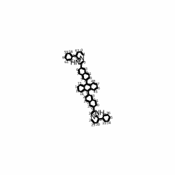 C1=CN2C=C(c3ccc4cc(-c5c6ccccc6c(-c6ccc7cc(C8=CN9C=CC=C(c%10ccccc%10)C9N8)ccc7c6)c6ccccc56)ccc4c3)NC2C(c2ccccc2)=C1